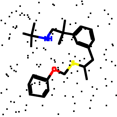 CC(Cc1cccc(C(C)(C)CNC(C)(C)C)c1)SCOc1ccccc1